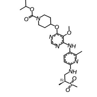 COc1c(Nc2ccc(NC[C@H](C)S(C)(=O)=O)nc2C)ncnc1OC1CCN(C(=O)OC(C)C)CC1